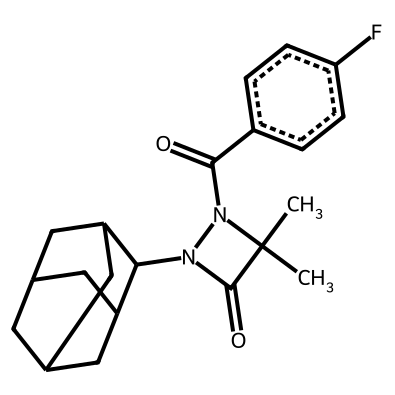 CC1(C)C(=O)N(C2C3CC4CC(C3)CC2C4)N1C(=O)c1ccc(F)cc1